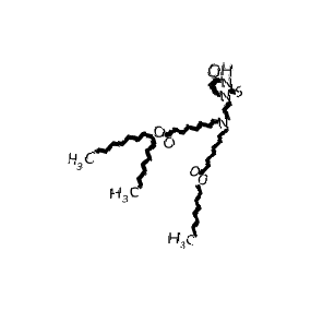 CCCCCCCCCOC(=O)CCCCCCCN(CCCCCCCC(=O)OC(CCCCCCCC)CCCCCCCC)CCCn1ccc(=O)[nH]c1=S